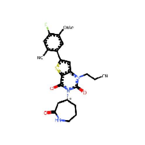 COc1cc(-c2cc3c(s2)c(=O)n([C@@H]2CCCNC(=O)C2)c(=O)n3CCC#N)c(C#N)cc1F